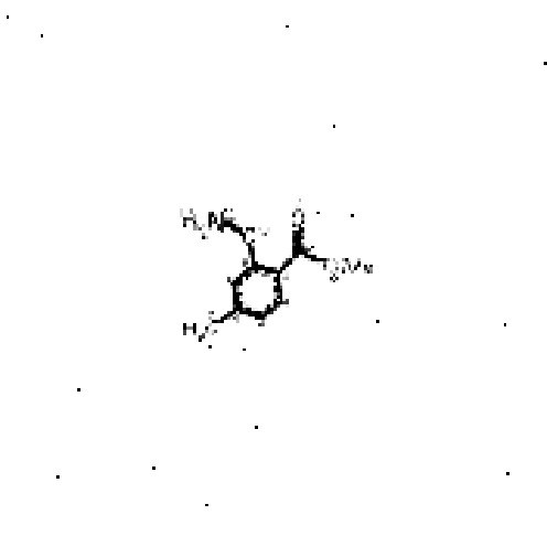 COC(=O)c1ccc(C)cc1[O][AlH2]